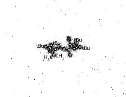 Cc1cc(C)cc(N2c3ccc(C45CC6CC(C4)C(c4ccc(-c7cc(-c8ccccc8)cc(N8c9ccc(C%10%11CC%12CC(CC(C%12)C%10)C%11)cc9B9c%10cc(C(C)(C)C)ccc%10N(c%10ccc(C(C)(C)C)cc%10)c%10cccc8c%109)c7)cc4)C(C6)C5)cc3B3c4cc(C(C)(C)C)ccc4N(c4ccc(C(C)(C)C)cc4)c4cccc2c43)c1